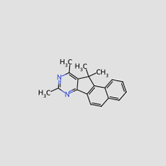 Cc1nc(C)c2c(n1)-c1ccc3ccccc3c1C2(C)C